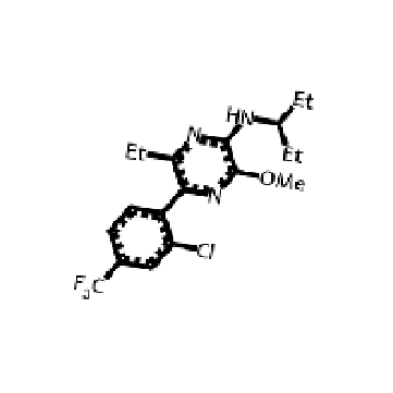 CCc1nc(NC(CC)CC)c(OC)nc1-c1ccc(C(F)(F)F)cc1Cl